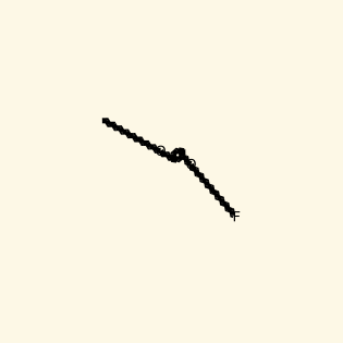 CCCCCCCCCCCCCCCCCOCCCC1(C)CCC(C)(C)C(CCOCCCCCCCCCCCCCCCCCF)C1